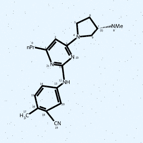 CCCc1cc(N2CC[C@H](NC)C2)nc(Nc2ccc(C)c(C#N)c2)n1